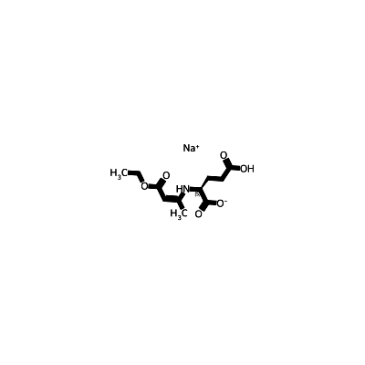 CCOC(=O)C=C(C)N[C@@H](CCC(=O)O)C(=O)[O-].[Na+]